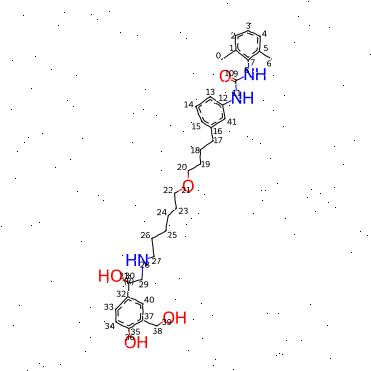 Cc1cccc(C)c1NC(=O)Nc1cccc(CCCCOCCCCCCNC[C@H](O)c2ccc(O)c(CO)c2)c1